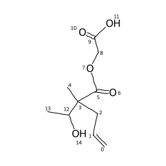 C=CCC(C)(C(=O)OCC(=O)O)C(C)O